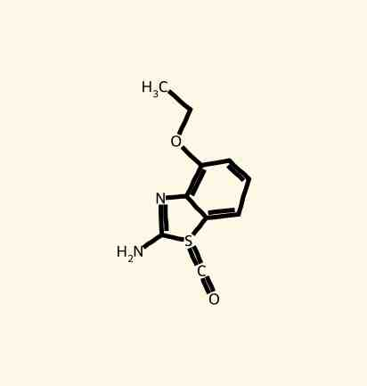 CCOc1cccc2c1N=C(N)S2=C=O